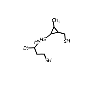 CC1C(S)C1CS.CCC(S)CCS